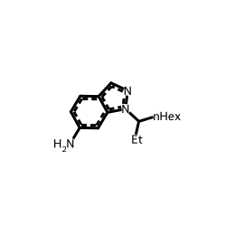 CCCCCCC(CC)n1ncc2ccc(N)cc21